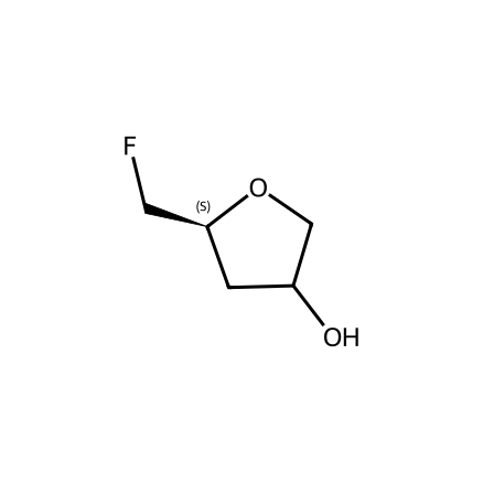 OC1CO[C@H](CF)C1